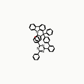 c1ccc(-c2nc(-c3ccccc3)nc(-c3ccccc3-c3ccc(C4(c5ccccc5)c5ccccc5-n5c6ccccc6c6cccc4c65)cc3)n2)cc1